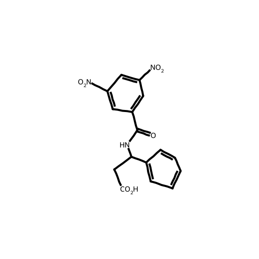 O=C(O)CC(NC(=O)c1cc([N+](=O)[O-])cc([N+](=O)[O-])c1)c1ccccc1